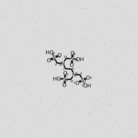 O=S(=O)(O)CN(CCN(CS(=O)(=O)O)CS(=O)(=O)O)CS(=O)(=O)O